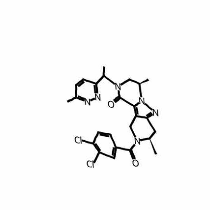 Cc1ccc(C(C)N2C[C@@H](C)n3nc4c(c3C2=O)CN(C(=O)c2ccc(Cl)c(Cl)c2)[C@H](C)C4)nn1